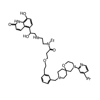 CCN(CCNCC(O)c1ccc(O)c2[nH]c(=O)ccc12)C(=O)CCOCCc1cccc(CN2CCC3(CC2)CN(c2cc(C(C)C)ccn2)CCO3)c1